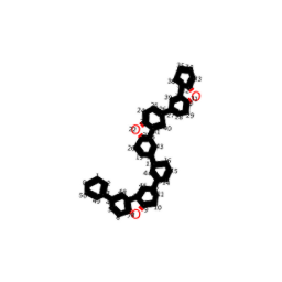 c1ccc(-c2ccc3oc4ccc(-c5cccc(-c6ccc7oc8ccc(-c9ccc%10oc%11ccccc%11c%10c9)cc8c7c6)c5)cc4c3c2)cc1